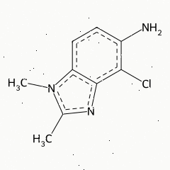 Cc1nc2c(Cl)c(N)ccc2n1C